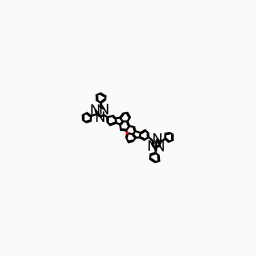 c1ccc(-c2nc(-c3ccccc3)nc(-c3ccc4c(c3)c3cccc5c6cc7c8ccc(-c9nc(-c%10ccccc%10)nc(-c%10ccccc%10)n9)cc8c8cccc(c6cc4c35)c87)n2)cc1